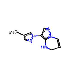 COc1cnn(-c2cnn3c2NCC=C3)c1